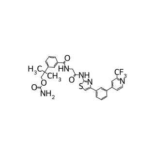 CC(C)(COC(N)=O)c1cccc(C(=O)NCC(=O)Nc2nc(-c3cccc(-c4ccnc(C(F)(F)F)c4)c3)cs2)c1